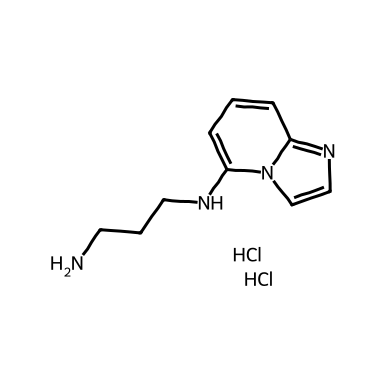 Cl.Cl.NCCCNc1cccc2nccn12